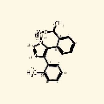 COC(C)c1ccccc1-c1c(-c2ccccc2C)nnn1C(C)(C)C